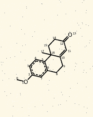 COc1ccc2c(c1)CCC1=CC(=O)CCC12C